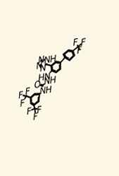 O=C(NNc1ccc(-c2ccc(C(F)(F)F)cc2)cc1-c1nnn[nH]1)Nc1cc(C(F)(F)F)cc(C(F)(F)F)c1